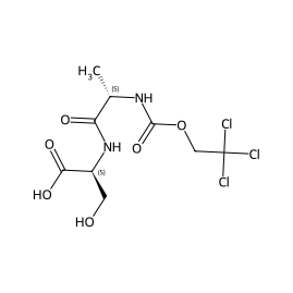 C[C@H](NC(=O)OCC(Cl)(Cl)Cl)C(=O)N[C@@H](CO)C(=O)O